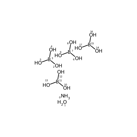 N.O.OB(O)O.OB(O)O.OB(O)O.OB(O)O